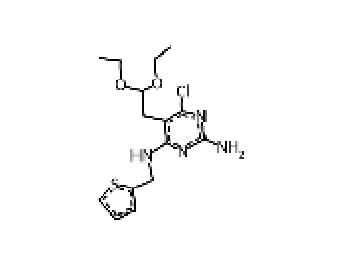 CCOC(Cc1c(Cl)nc(N)nc1NCc1cccs1)OCC